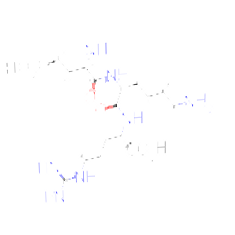 N=C(N)NCCC[C@H](NC(=O)[C@H](CCCCN)NC(=O)[C@@H](N)CCC(=O)O)C(=O)O